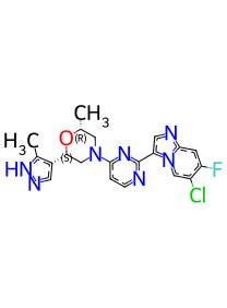 Cc1[nH]ncc1[C@H]1CN(c2ccnc(-c3cnc4cc(F)c(Cl)cn34)n2)C[C@@H](C)O1